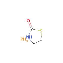 O=C1NCCS1.P